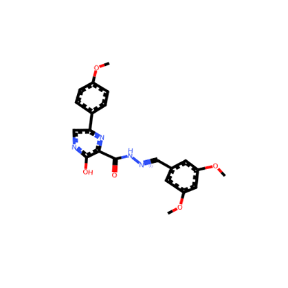 COc1ccc(-c2cnc(O)c(C(=O)N/N=C/c3cc(OC)cc(OC)c3)n2)cc1